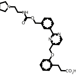 O=C(O)CCc1ccccc1OCc1ccnc(-c2cccc(COC(=O)NCCN3CCCC3)c2)n1